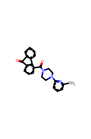 Cc1cccc(N2CCN(C(=O)c3cccc4c3-c3ccccc3C4=O)CC2)n1